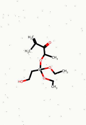 C=C(C)C(=O)C(C)O[Si](CCO)(OCC)OCC